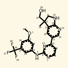 COc1cc(Nc2nccc(-c3cnc4c(c3)C(C)(CO)CN4)n2)cc(C(F)(F)F)c1